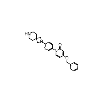 O=c1cc(OCc2ccccc2)ccn1-c1ccc(N2CC3(CCNCC3)C2)nc1